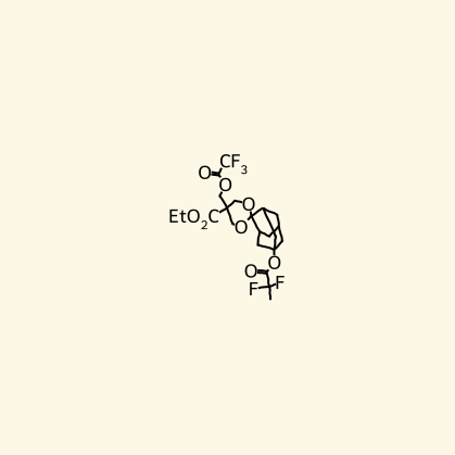 CCOC(=O)C1(COC(=O)C(F)(F)F)COC2(OC1)C1CC3CC2CC(OC(=O)C(C)(F)F)(C3)C1